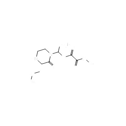 CC(C)(C)OC[C@@H]1NCCN(C(OC(=O)C(=O)OC(C)(C)C)C(=O)O)C1=O